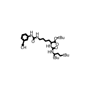 C#Cc1cccc(NC(=O)NCCCCC(NC(=O)NC(CCC(C)(C)C)C(C)(C)C)C(=O)OC(C)(C)C)c1